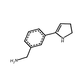 NCc1cccc(C2=CCCN2)c1